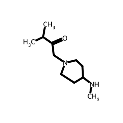 CNC1CCN(CC(=O)C(C)C)CC1